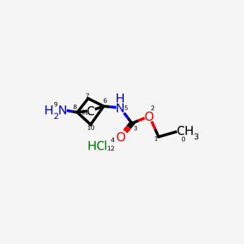 CCOC(=O)NC12CC(N)(C1)C2.Cl